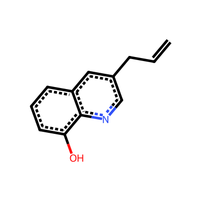 C=CCc1cnc2c(O)cccc2c1